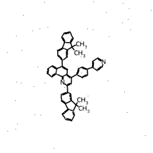 CC1(C)c2ccccc2-c2ccc(-c3cc(-c4ccc(-c5ccncc5)cc4)c4cc(-c5ccc6c(c5)C(C)(C)c5ccccc5-6)c5ccccc5c4n3)cc21